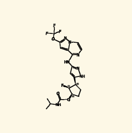 CC(C)NC(=O)O[C@@H]1CC[C@H](c2cc(Nc3nccn4nc(OC(F)(F)F)cc34)n[nH]2)[C@@H]1F